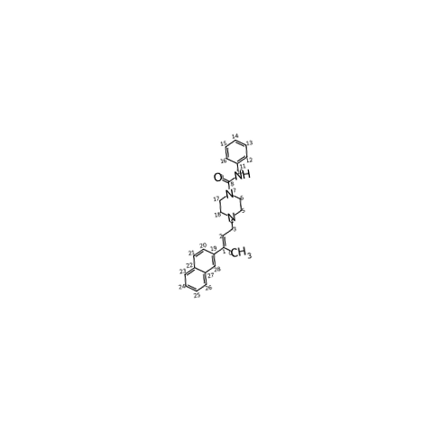 C/C(=C\CN1CCN(C(=O)Nc2ccccc2)CC1)c1ccc2ccccc2c1